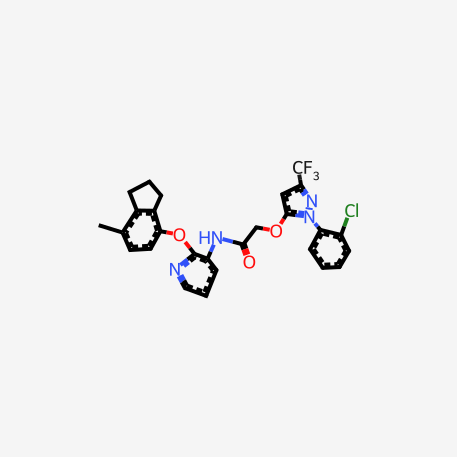 Cc1ccc(Oc2ncccc2NC(=O)COc2cc(C(F)(F)F)nn2-c2ccccc2Cl)c2c1CCC2